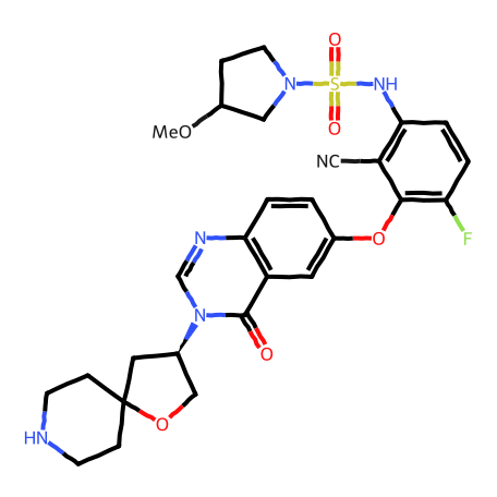 COC1CCN(S(=O)(=O)Nc2ccc(F)c(Oc3ccc4ncn([C@H]5COC6(CCNCC6)C5)c(=O)c4c3)c2C#N)C1